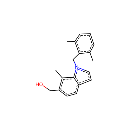 Cc1cccc(C)c1Cn1ccc2ccc(CO)c(C)c21